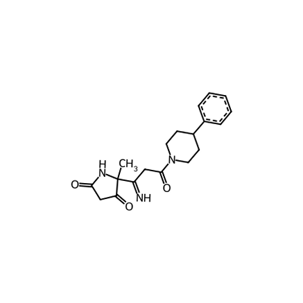 CC1(C(=N)CC(=O)N2CCC(c3ccccc3)CC2)NC(=O)CC1=O